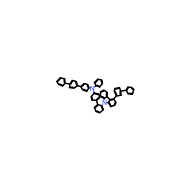 c1ccc(-c2ccc(-c3ccc(N(c4ccccc4)c4ccc(-c5ccccc5-n5c6ccccc6c6c(-c7cccc(-c8ccccc8)c7)cccc65)cc4)cc3)cc2)cc1